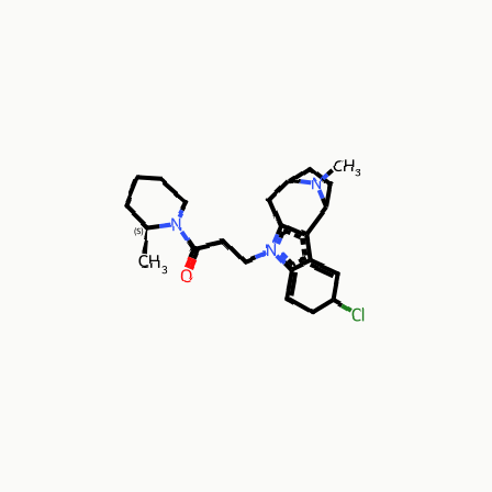 C[C@H]1CCCCN1C(=O)CCn1c2c(c3c1=CCC(Cl)C=3)C1CCC(C2)N1C